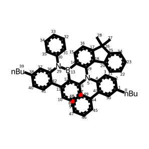 CCCCc1ccc(N2c3cc(C)cc4c3B(c3ccc5c(c32)-c2ccccc2C5(C)C)N(c2ccccc2)c2cc(CCCC)ccc2-4)c(-c2ccccc2)c1